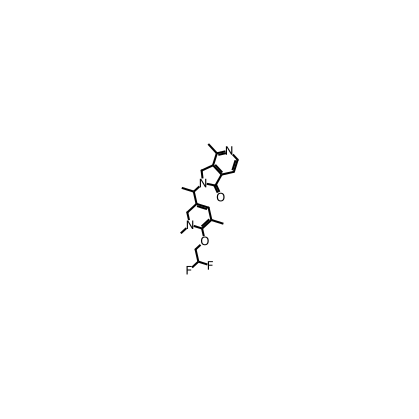 CC1=C(OCC(F)F)N(C)CC(C(C)N2Cc3c(ccnc3C)C2=O)=C1